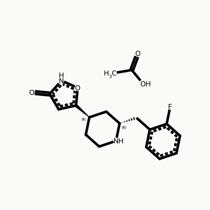 CC(=O)O.O=c1cc([C@@H]2CCN[C@@H](Cc3ccccc3F)C2)o[nH]1